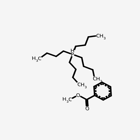 CCCC[PH](CCCC)(CCCC)CCCC.COC(=O)c1ccccc1